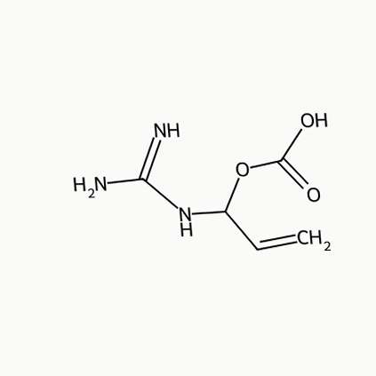 C=CC(NC(=N)N)OC(=O)O